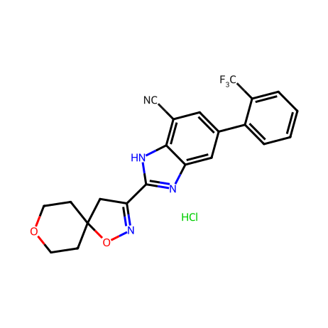 Cl.N#Cc1cc(-c2ccccc2C(F)(F)F)cc2nc(C3=NOC4(CCOCC4)C3)[nH]c12